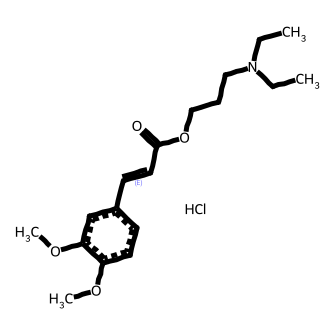 CCN(CC)CCCOC(=O)/C=C/c1ccc(OC)c(OC)c1.Cl